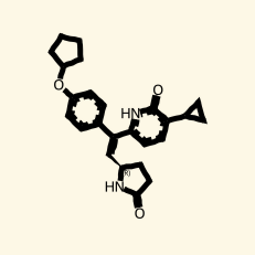 O=C1CC[C@H](C=C(c2ccc(OC3CCCC3)cc2)c2ccc(C3CC3)c(=O)[nH]2)N1